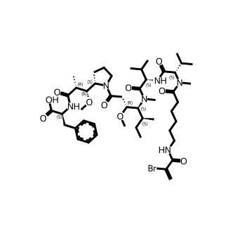 C=C(Br)C(=O)NCCCCCC(=O)N(C)[C@H](C(=O)N[C@H](C(=O)N(C)[C@@H]([C@@H](C)CC)[C@@H](CC(=O)N1CCC[C@H]1[C@H](OC)[C@@H](C)C(=O)N[C@@H](Cc1ccccc1)C(=O)O)OC)C(C)C)C(C)C